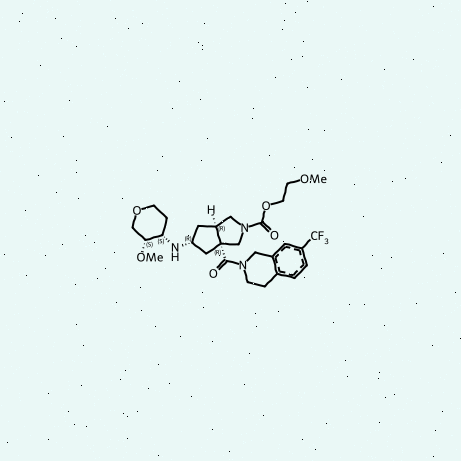 COCCOC(=O)N1C[C@@H]2C[C@@H](N[C@H]3CCOC[C@H]3OC)C[C@]2(C(=O)N2CCc3ccc(C(F)(F)F)cc3C2)C1